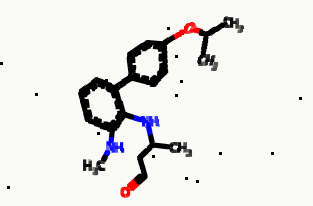 CNc1cccc(-c2ccc(OC(C)C)cc2)c1NC(C)CC=O